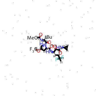 COC(=O)N[C@H](C(=O)N1C[C@H](OC(F)(F)F)C[C@H]1C(=O)N[C@@H](CCC(C)(F)F)C(=O)C(=O)NC1CC1)C(C)(C)C